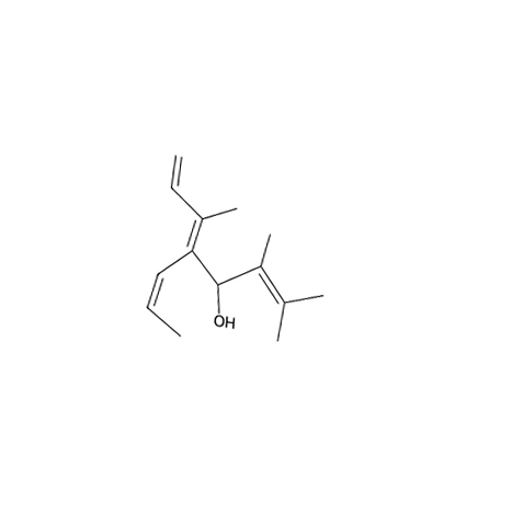 C=C/C(C)=C(\C=C/C)C(O)C(C)=C(C)C